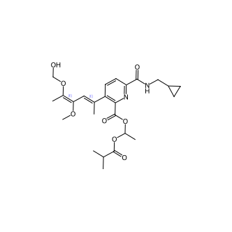 COC(/C=C(\C)c1ccc(C(=O)NCC2CC2)nc1C(=O)OC(C)OC(=O)C(C)C)=C(\C)OCO